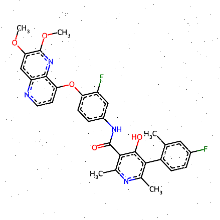 COc1cc2nccc(Oc3ccc(NC(=O)c4c(C)nc(C)c(-c5ccc(F)cc5C)c4O)cc3F)c2nc1OC